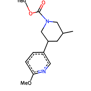 CCCCOC(=O)N1CC(C)CC(c2ccc(OC)nc2)C1